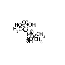 CCC(C)OC(=O)C(CC(=O)O)C1C=C(C)C(C(=O)O)C(C(=O)O)C1